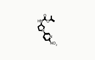 C=C(C)OC(=O)NC1CCN(c2ccc([N+](=O)[O-])nc2)C1